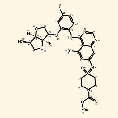 Cc1cc(N=S2(=O)CCN(C(=O)OC(C)(C)C)CC2)cc2ncnc(Nc3ccc(F)cc3O[C@@H]3CO[C@H]4[C@@H]3OC[C@H]4O)c12